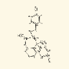 CN1Cc2ccccc2C(C)(c2ccc(Cl)cc2)N=C1CCc1ccc(Cl)cc1